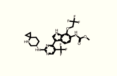 COC(=O)Nc1ccc2c(-c3nc(N[C@H]4CCC5(CC5)NC4)ncc3C(F)(F)F)c[nH]c2c1OCC(F)(F)F